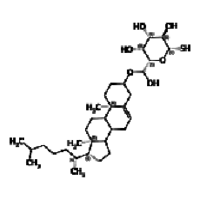 CC(C)CCC[C@@H](C)[C@H]1CCC2C3CC=C4CC(OC(O)[C@H]5O[C@@H](S)[C@H](O)[C@@H](O)[C@H]5O)CC[C@]4(C)C3CC[C@@]21C